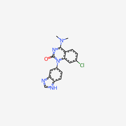 CN(C)c1nc(=O)n(-c2ccc3[nH]cnc3c2)c2cc(Cl)ccc12